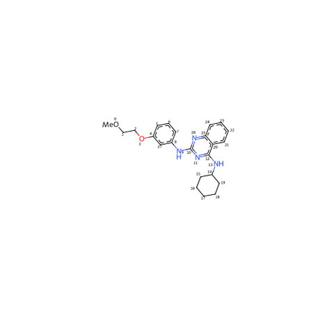 COCCOc1cccc(Nc2nc(NC3CCCCC3)c3ccccc3n2)c1